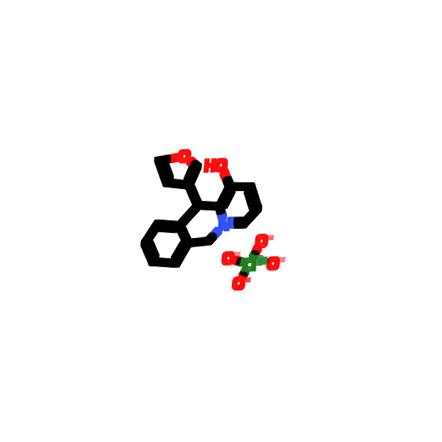 Oc1ccc[n+]2c1C(c1ccoc1)c1ccccc1C2.[O-][Cl+3]([O-])([O-])[O-]